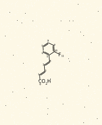 O=C(O)C=CC=Cc1ccccc1F